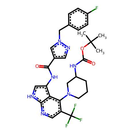 CC(C)(C)OC(=O)NC1CCCN(c2c(C(F)(F)F)cnc3[nH]cc(NC(=O)c4cnn(Cc5ccc(F)cc5)c4)c23)C1